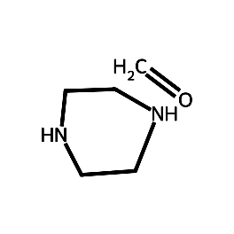 C1CNCCN1.C=O